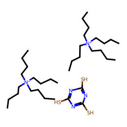 CCCC[N+](CCCC)(CCCC)CCCC.CCCC[N+](CCCC)(CCCC)CCCC.Sc1nc(S)nc(S)n1